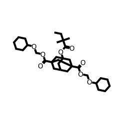 CCC(C)(C)C(=O)OC12CC3CC(C(=O)OCOC4CCCCC4)(C1)CC(C(=O)OCOC1CCCCC1)(C3)C2